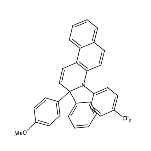 COc1ccc(C2(c3ccccc3)C=Cc3c(ccc4ccccc34)N2c2ccc(C(F)(F)F)cc2)cc1